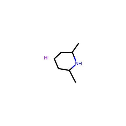 CC1CCCC(C)N1.I